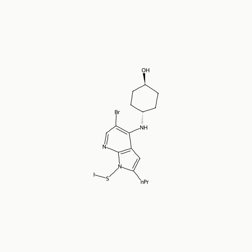 CCCc1cc2c(N[C@H]3CC[C@H](O)CC3)c(Br)cnc2n1SI